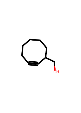 OCC1C#CCCCCC1